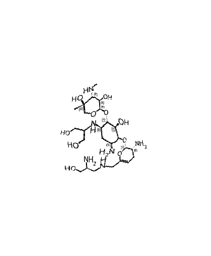 CN[C@@H]1[C@@H](O)[C@@H](O[C@H]2[C@H](NC(CO)CO)C[C@H](N)C(O[C@H]3OC(CNCC(N)CO)=CC[C@H]3N)[C@@H]2O)OC[C@]1(C)O